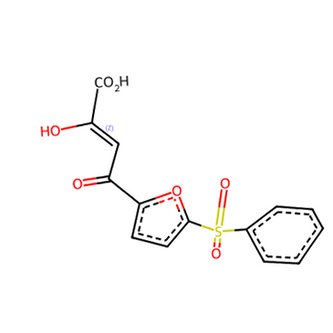 O=C(O)/C(O)=C/C(=O)c1ccc(S(=O)(=O)c2ccccc2)o1